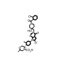 Cc1cc(-n2c(Cl)cc3c(=O)n(CC4(O)CCN(C(=O)c5ccccc5Cl)CC4)cnc32)ccc1[C@H]1CO[C@H](C)CN1C(=O)O